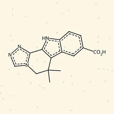 CC1(C)Cn2cnnc2-c2[nH]c3ccc(C(=O)O)cc3c21